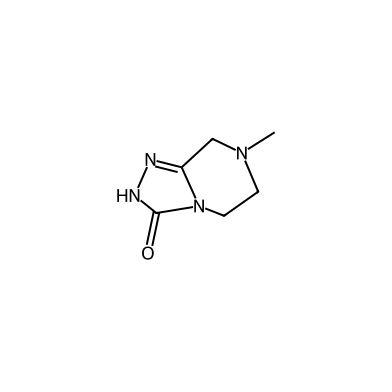 CN1CCn2c(n[nH]c2=O)C1